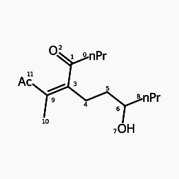 CCCC(=O)/C(CCC(O)CCC)=C(/C)C(C)=O